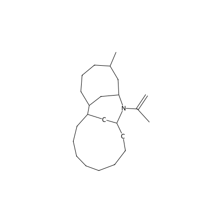 C=C(C)N1C2CCCCCCCCC(C2)C2CCCC(C)CC1C2